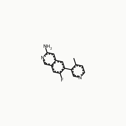 Cc1ccncc1-c1cc2cc(N)ncc2cc1F